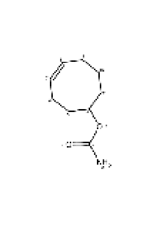 NC(=O)OC1CCC=CCCC1